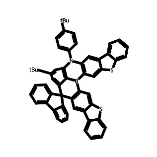 CC(C)(C)c1ccc(N2c3cc4c(cc3B3c5cc6sc7ccccc7c6cc5C5(c6ccccc6-c6ccccc65)c5cc(C(C)(C)C)cc2c53)sc2ccccc24)cc1